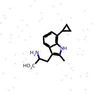 Cc1[nH]c2c(C3CC3)cccc2c1CC(N)C(=O)O